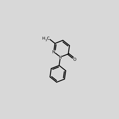 Cc1ccc(=O)n(-c2ccccc2)n1